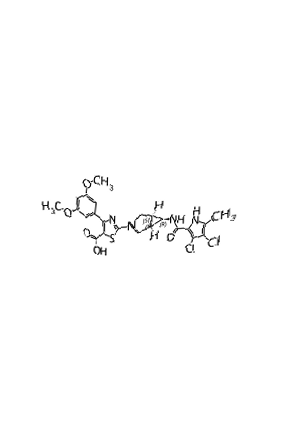 COc1cc(OC)cc(-c2nc(N3C[C@@H]4[C@H](C3)[C@@H]4NC(=O)c3[nH]c(C)c(Cl)c3Cl)sc2C(=O)O)c1